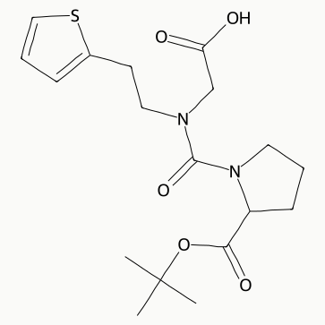 CC(C)(C)OC(=O)C1CCCN1C(=O)N(CCc1cccs1)CC(=O)O